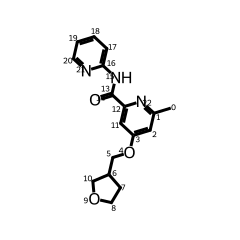 Cc1cc(OCC2CCOC2)cc(C(=O)Nc2ccccn2)n1